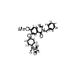 COc1cc2ncn(Cc3ccccc3)c(=O)c2cc1O[C@H]1CC[C@@H](N(C)S(C)(=O)=O)CC1